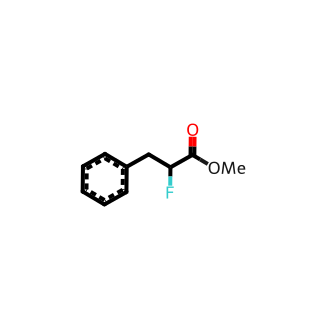 COC(=O)C(F)Cc1ccccc1